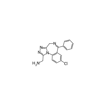 NCc1nnc2n1-c1ccc(Cl)cc1C(c1ccccc1)=NC2